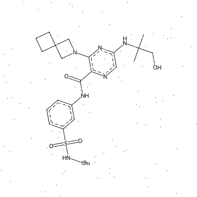 CC(C)(C)NS(=O)(=O)c1cccc(NC(=O)c2ncc(NC(C)(C)CO)nc2N2CC3(CCC3)C2)c1